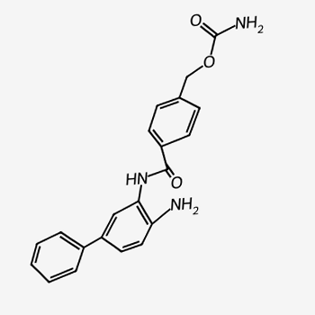 NC(=O)OCc1ccc(C(=O)Nc2cc(-c3ccccc3)ccc2N)cc1